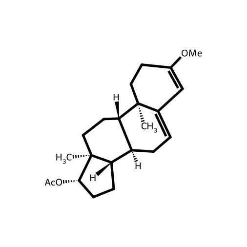 COC1=CC2=CC[C@H]3[C@@H]4CC[C@H](OC(C)=O)[C@@]4(C)CC[C@@H]3[C@@]2(C)CC1